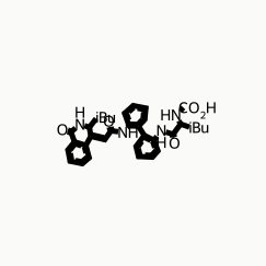 CCC(C)C(NC(=O)O)C(=O)Nc1ccccc1-c1ccccc1NC(=O)C=C1c2ccccc2C(=O)NC1C(C)CC